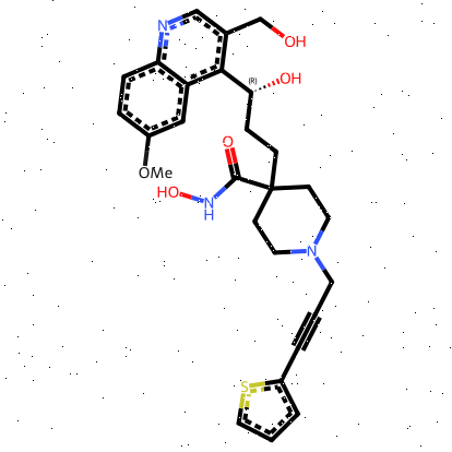 COc1ccc2ncc(CO)c([C@H](O)CCC3(C(=O)NO)CCN(CC#Cc4cccs4)CC3)c2c1